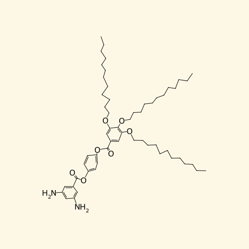 CCCCCCCCCCCCOc1cc(C(=O)Oc2ccc(OC(=O)c3cc(N)cc(N)c3)cc2)cc(OCCCCCCCCCCCC)c1OCCCCCCCCCCCC